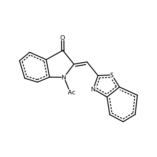 CC(=O)N1C(=Cc2nc3ccccc3s2)C(=O)c2ccccc21